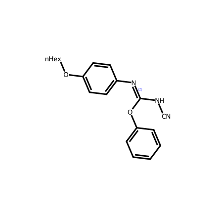 CCCCCCOc1ccc(/N=C(/NC#N)Oc2ccccc2)cc1